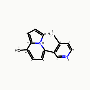 Cc1ccncc1-c1ccc(C#N)c2cccn12